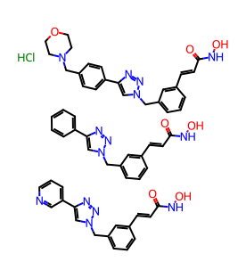 Cl.O=C(C=Cc1cccc(Cn2cc(-c3ccc(CN4CCOCC4)cc3)nn2)c1)NO.O=C(C=Cc1cccc(Cn2cc(-c3ccccc3)nn2)c1)NO.O=C(C=Cc1cccc(Cn2cc(-c3cccnc3)nn2)c1)NO